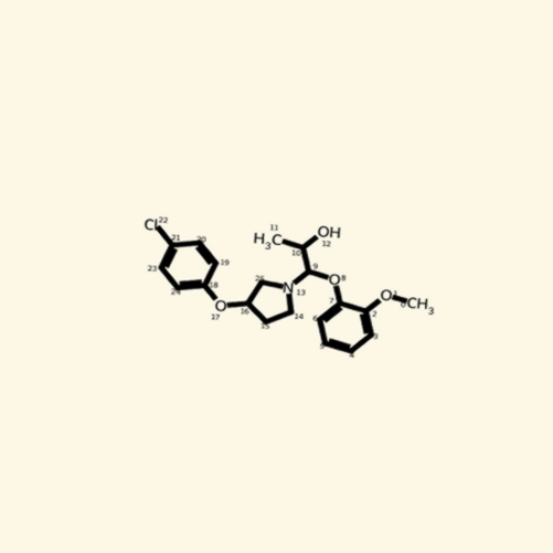 COc1ccccc1OC(C(C)O)N1CCC(Oc2ccc(Cl)cc2)C1